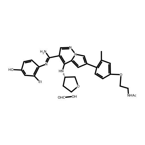 CCc1cc(O)ccc1N=C(N)c1cnn2cc(-c3ccc(OCCNC(C)=O)cc3C)cc2c1N[C@H]1CCOC1.O=CO